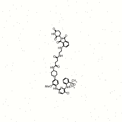 COc1cc(N2CCC(NC(=O)CCC(=O)NCCNc3cccc4c3C(=O)N(C3CCC(=O)NC3=O)C4=O)CC2)ccc1Nc1ncc(Cl)c(Nc2ccccc2P(C)(C)=O)n1